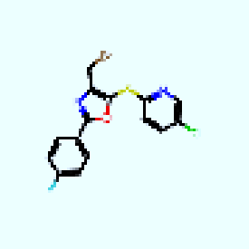 Fc1ccc(-c2nc(CBr)c(Sc3ccc(Cl)cn3)o2)cc1